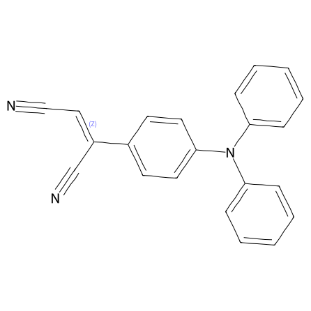 N#C/C=C(\C#N)c1ccc(N(c2ccccc2)c2ccccc2)cc1